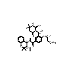 CC[C@H](c1cc(C(=O)N[C@@H]2c3ccccc3OC(C)(C)[C@H]2O)ccc1O[C@H](C)COC)N1C(=N)NC(C)(C)CC1=O